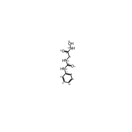 O=C(CNC(=O)Nc1ccccc1)NO